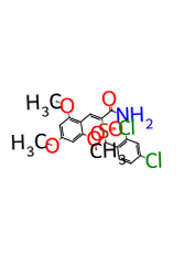 COc1cc(OC)c(C=C(C(N)=O)S(=O)(=O)Cc2ccc(Cl)cc2Cl)c(OC)c1